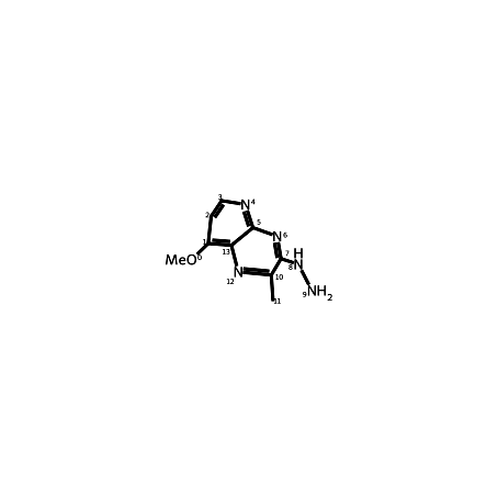 COc1ccnc2nc(NN)c(C)nc12